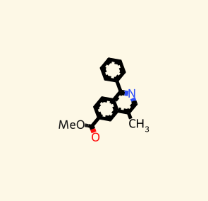 COC(=O)c1ccc2c(-c3ccccc3)ncc(C)c2c1